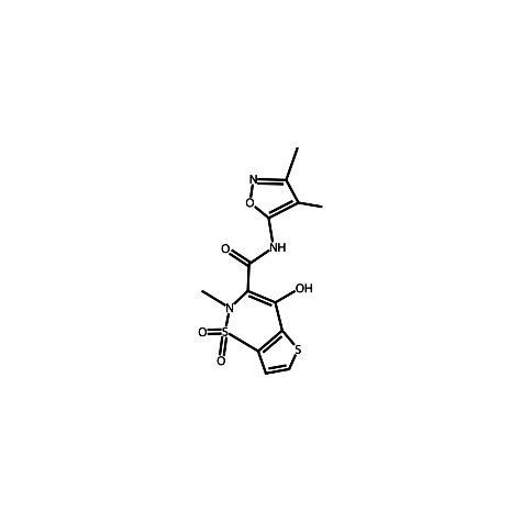 Cc1noc(NC(=O)C2=C(O)c3sccc3S(=O)(=O)N2C)c1C